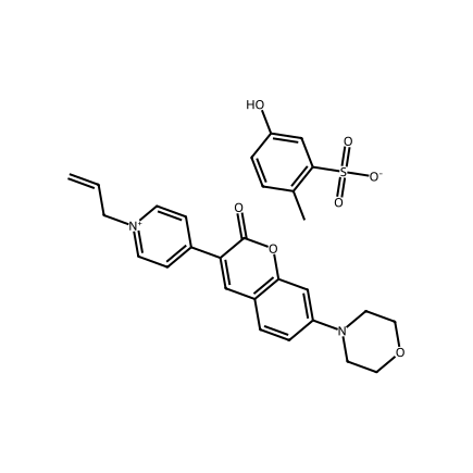 C=CC[n+]1ccc(-c2cc3ccc(N4CCOCC4)cc3oc2=O)cc1.Cc1ccc(O)cc1S(=O)(=O)[O-]